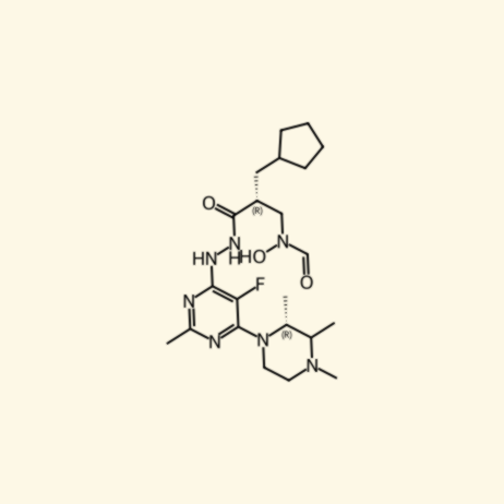 Cc1nc(NNC(=O)[C@H](CC2CCCC2)CN(O)C=O)c(F)c(N2CCN(C)C(C)[C@H]2C)n1